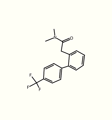 CN(C)C(=O)Cc1ccccc1-c1ccc(C(F)(F)F)cc1